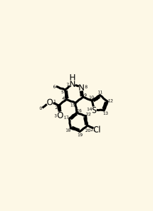 COC(=O)C1=C(C)NN=C(c2cccs2)C1c1cccc(Cl)c1